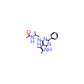 CC(=O)NC(C)CNc1nc(-c2ccccc2)nc2[nH]c(C)c(C)c12